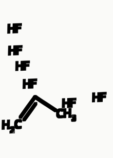 C=CC.F.F.F.F.F.F